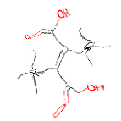 C[Si](C)(C)C(C(=O)O)=C(C(=O)O)[Si](C)(C)C